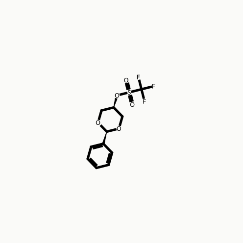 O=S(=O)(O[C@H]1CO[C@@H](c2ccccc2)OC1)C(F)(F)F